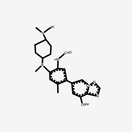 COc1cc(-c2cc(NC=O)c(N(C)C3CCC(N(C)C(C)C)CC3)cc2C)cn2ncnc12